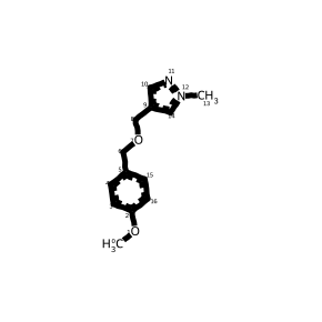 COc1ccc(COCc2cnn(C)c2)cc1